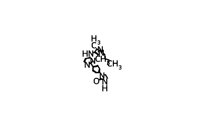 CCCCn1nc(C)c(Nc2ccnc(-c3ccc(N4CCNC4=O)cc3)n2)c1C